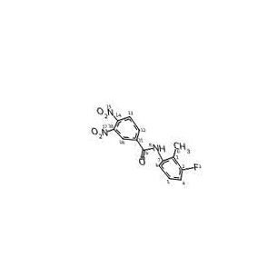 Cc1c(F)cccc1NC(=O)c1ccc([N+](=O)[O-])c([N+](=O)[O-])c1